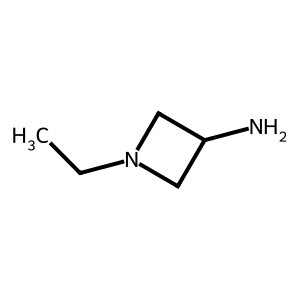 CCN1CC(N)C1